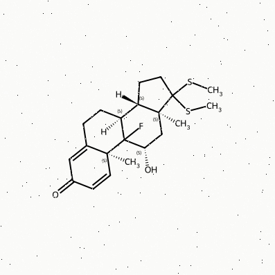 CSC1(SC)CC[C@H]2[C@@H]3CCC4=CC(=O)C=C[C@]4(C)C3(F)[C@@H](O)C[C@@]21C